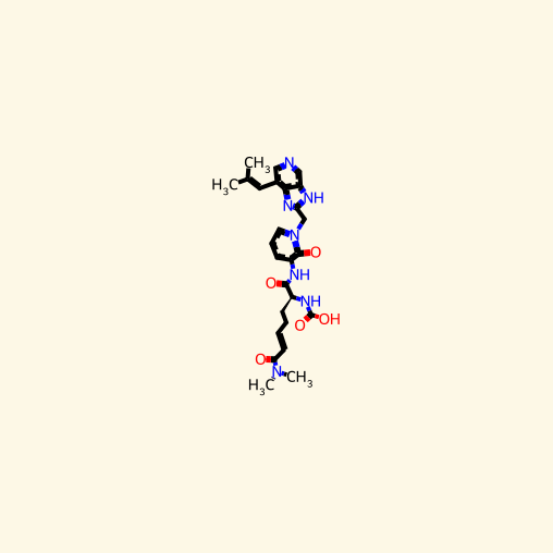 CC(C)=Cc1cncc2[nH]c(Cn3cccc(NC(=O)[C@H](CC/C=C/C(=O)N(C)C)NC(=O)O)c3=O)nc12